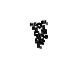 C=CC(=O)N1CCN(C(=O)c2cc(Sc3cnc(NC(=O)c4cnn(C)c4)s3)c(C)cc2C)CC1